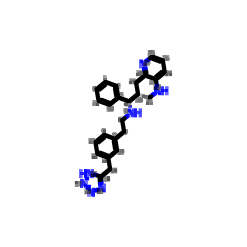 c1ccc([C@@H](NCCc2cccc(Cc3nnn[nH]3)c2)[C@H]2CNc3cccnc3C2)cc1